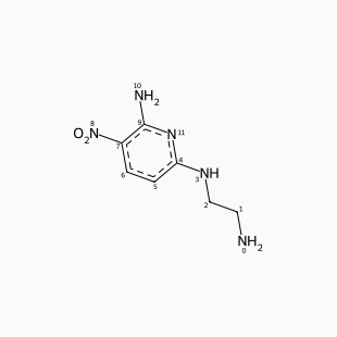 NCCNc1ccc([N+](=O)[O-])c(N)n1